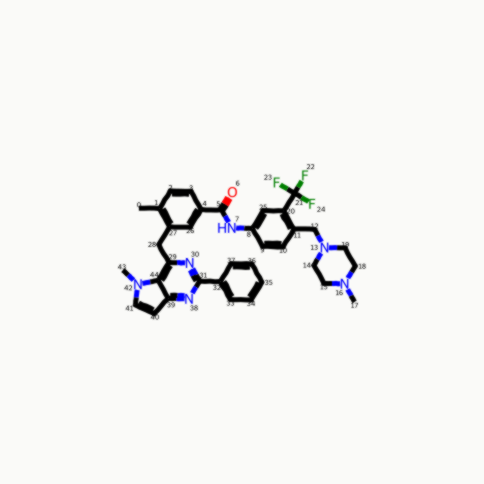 Cc1ccc(C(=O)Nc2ccc(CN3CCN(C)CC3)c(C(F)(F)F)c2)cc1Cc1nc(-c2ccccc2)nc2ccn(C)c12